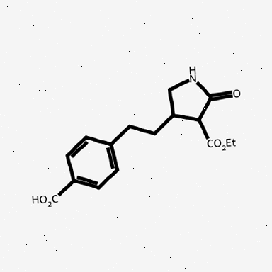 CCOC(=O)C1C(=O)NCC1CCc1ccc(C(=O)O)cc1